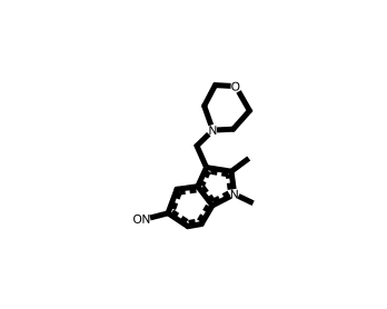 Cc1c(CN2CCOCC2)c2cc(N=O)ccc2n1C